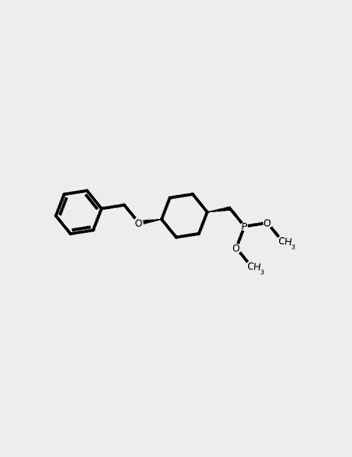 COP(C[C@H]1CC[C@@H](OCc2ccccc2)CC1)OC